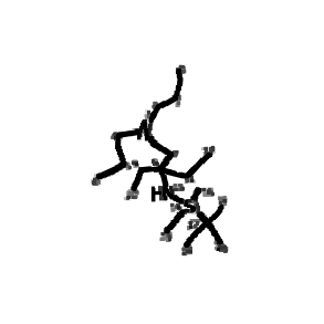 CCCN(CCC)CC(CC)(CC)N[Si](C)(C)C(C)(C)C